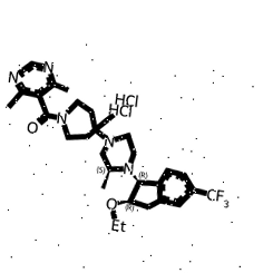 CCO[C@@H]1Cc2cc(C(F)(F)F)ccc2[C@H]1N1CCN(C2(C)CCN(C(=O)c3c(C)ncnc3C)CC2)C[C@@H]1C.Cl.Cl